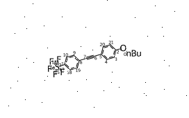 CCCCOc1ccc(C#Cc2ccc(S(F)(F)(F)(F)F)cc2)cc1